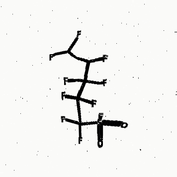 O=S(=O)(F)C(F)(F)C(F)(F)C(F)(F)C(F)C(F)F